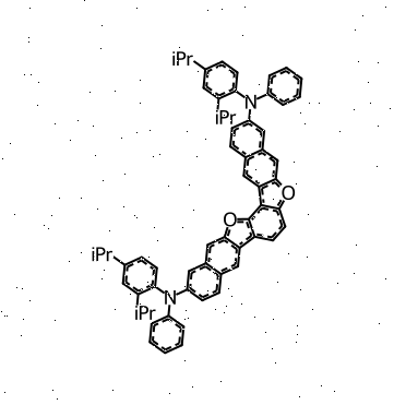 CC(C)c1ccc(N(c2ccccc2)c2ccc3cc4c(cc3c2)oc2c4ccc3oc4cc5cc(N(c6ccccc6)c6ccc(C(C)C)cc6C(C)C)ccc5cc4c32)c(C(C)C)c1